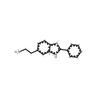 NCCc1ccc2nc(-c3ccccc3)[nH]c2c1